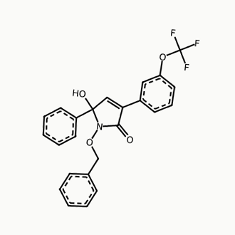 O=C1C(c2cccc(OC(F)(F)F)c2)=CC(O)(c2ccccc2)N1OCc1ccccc1